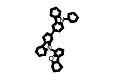 c1ccc(-n2c3ccccc3c3cc(-c4ccc5c6ccccc6n(-c6cccc7c6oc6ccccc67)c5c4)ccc32)cc1